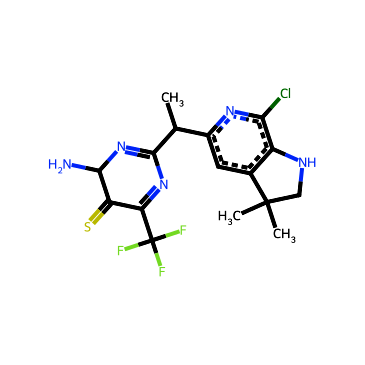 CC(C1=NC(N)C(=S)C(C(F)(F)F)=N1)c1cc2c(c(Cl)n1)NCC2(C)C